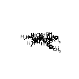 CNc1ccc(CC(=O)N[C@@H](CCNC(=O)[C@@H](NC[C@](C=O)(CCN)NC(=O)[C@@H](N)CCN)[C@@H](C)O)C(=O)N[C@@H](CCN)C(=O)N[C@H](Cc2ccccc2)C(N)=O)cc1